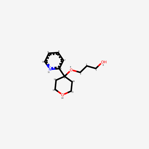 OCCCOC1(c2ccccn2)CCOCC1